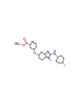 Cn1c(Nc2ccc(F)cc2)nc2cc(Oc3ccnc(C(=O)OC(C)(C)C)c3)ccc21